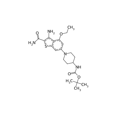 CCOc1cc(N2CCC(NC(=O)OC(C)(C)C)CC2)cc2sc(C(N)=O)c(N)c12